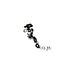 [CH2]c1ccccc1C(=O)N1CCN(Cc2c(-c3ccc(O[C@H]4CCC[C@H](C(=O)O)C4)cc3)nnn2C)C1